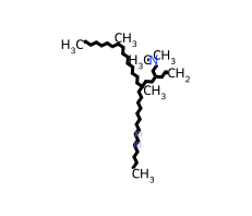 C=CCC(CCN(C)C)CCC(C)(CCCCCCC/C=C/C=C/CCCCC)CCCCCCCCC(C)CCCCCCC